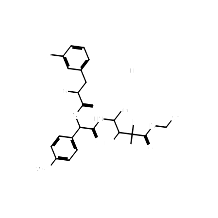 COc1ccc(C(NC(=O)C(N)Cc2cccc(Cl)c2)C(=O)NC(C(C)C)C(O)C(F)(F)C(=O)NCC(F)(F)F)cc1.Cl